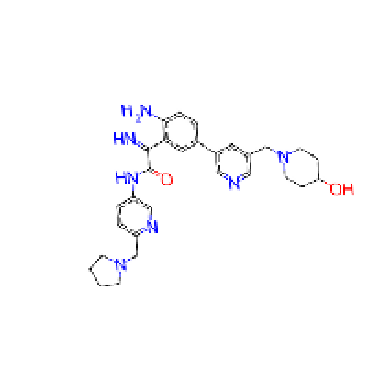 N=C(C(=O)Nc1ccc(CN2CCCC2)nc1)c1cc(-c2cncc(CN3CCC(O)CC3)c2)ccc1N